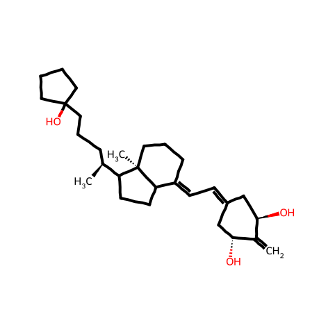 C=C1[C@H](O)CC(=C/C=C2\CCC[C@@]3(C)C2CCC3[C@@H](C)CCCC2(O)CCCC2)C[C@H]1O